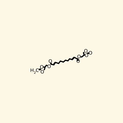 C=C1OCC(COC(=O)C=CCCCCCCC=CC(=O)OCC2COC(=O)O2)O1